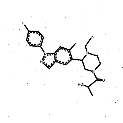 Cc1cc2c(cnn2-c2ccc(F)cc2)cc1C1CN(C(=O)C(C)O)CCN1CC(C)C